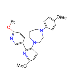 CCOc1ccc(-c2nc(OC)ccc2N2CCCN(c3ccc(OC)cc3)CC2)cn1